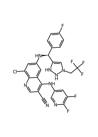 N#Cc1cnc2c(Cl)cc(N[C@H](C3=CN(CC(F)(F)F)NN3)c3ccc(F)cc3)cc2c1Nc1cnc(F)c(F)c1